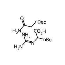 CCCCC(N=C(N)N)C(=O)O.CCCCCCCCCCCC(N)=O